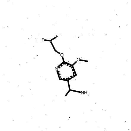 COc1cc(C(C)N)cnc1OCC(F)F